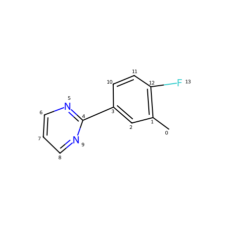 Cc1cc(-c2ncccn2)ccc1F